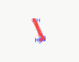 CC(=O)NCCOCCOCCOCCOCCOCCOCCOCCOCCC(=O)N1CCc2cc(Cn3nc(-c4cnc5[nH]ccc5c4)c4c(N)ncnc43)ccc2C1